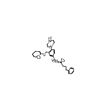 O=C(CCCc1ccccc1)Nc1ccc(N2CCNCC2)c(COC2CCCCO2)c1